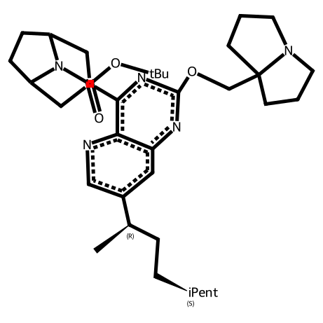 CCC[C@H](C)CC[C@@H](C)c1cnc2c(N3CC4CCC(C3)N4C(=O)OC(C)(C)C)nc(OCC34CCCN3CCC4)nc2c1